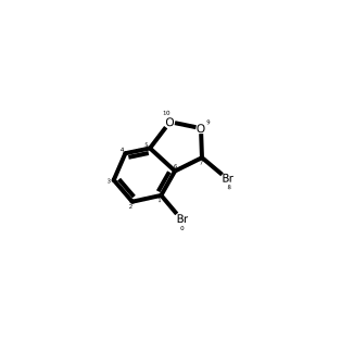 Brc1cccc2c1C(Br)OO2